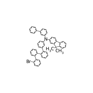 CC1(C)c2ccccc2-c2ccc(N(c3cccc(-c4ccccc4)c3)c3cccc(-c4ccccc4-c4ccccc4-c4ccccc4Br)c3)cc21